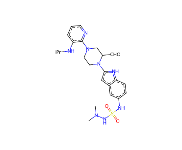 CC(C)Nc1cccnc1N1CCN(c2cc3cc(NS(=O)(=O)NN(C)C)ccc3[nH]2)C(C=O)C1